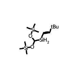 CC(C)(C)C=C[SiH2]C(O[Si](C)(C)C)O[Si](C)(C)C